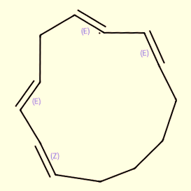 [C]1=C/C/C=C/C=C\CCCC/C=C/1